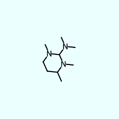 CC1CCN(C)C(N(C)C)N1C